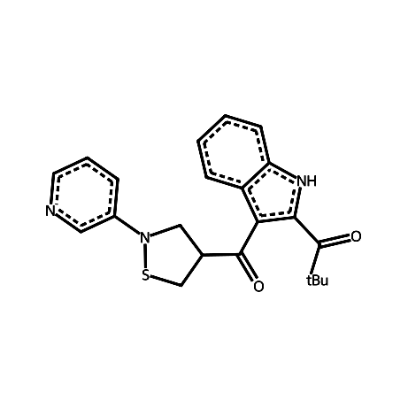 CC(C)(C)C(=O)c1[nH]c2ccccc2c1C(=O)C1CSN(c2cccnc2)C1